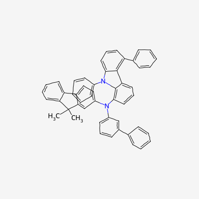 CC1(C)c2ccccc2-c2ccc(N(c3cccc(-c4ccccc4)c3)c3cccc4c5c(-c6ccccc6)cccc5n(-c5ccccc5)c34)cc21